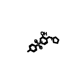 Cc1ccc(S(=O)(=O)N2C=CC(CN3CCCC3)=C(O)C2)cc1